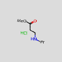 COC(=O)CCNC(C)C.Cl